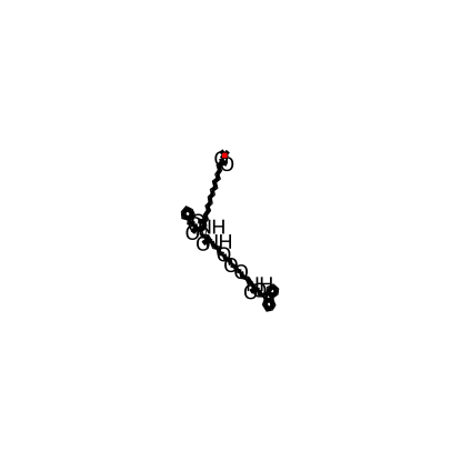 CC(C)(C)OC(=O)CCCCCCCCCCCCCCC(=O)N[C@@H](CCC(=O)NCCCOCCOCCOCCCNC(=O)OCC1c2ccccc2-c2ccccc21)C(=O)OCc1ccccc1